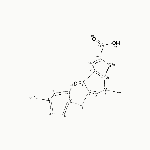 Cn1cc(Cc2ccc(F)cc2)c(=O)c2cc(C(=O)O)sc21